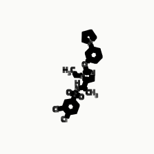 CCn1c(C(C)NS(=O)(=O)c2ccc(Cl)c(Cl)c2)cnc1Oc1cccc(-n2cccc2)c1